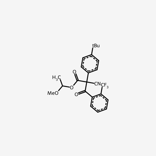 COC(C)OC(=O)C(C#N)(C(=O)c1ccccc1C(F)(F)F)c1ccc(C(C)(C)C)cc1